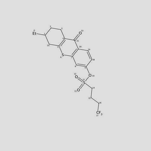 CCC1CCc2c(sc3cc(OS(=O)(=O)CCCC(F)(F)F)ccc3c2=O)C1